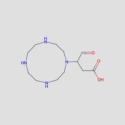 O=[C]C(CC(=O)O)N1CCNCCNCCNCC1